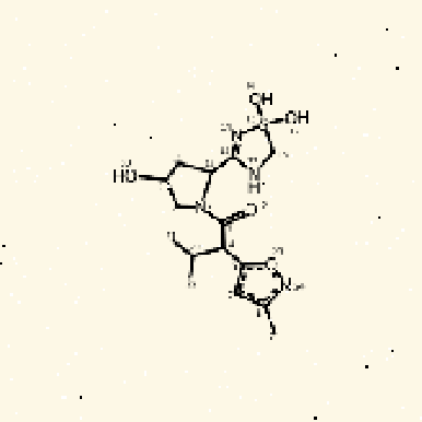 Cc1cc(C(C(=O)N2CC(O)CC2C2=NS(O)(O)CN2)C(C)C)on1